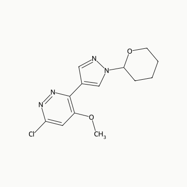 COc1cc(Cl)nnc1-c1cnn(C2CCCCO2)c1